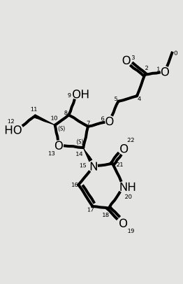 COC(=O)CCOC1C(O)[C@H](CO)O[C@@H]1n1ccc(=O)[nH]c1=O